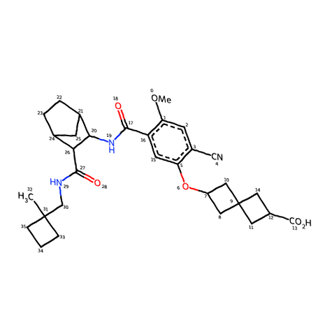 COc1cc(C#N)c(OC2CC3(C2)CC(C(=O)O)C3)cc1C(=O)NC1C2CCC(C2)C1C(=O)NCC1(C)CCC1